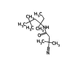 CCC(C)(CC(C)(C)C)NC(=O)CC(C)(C)C#N